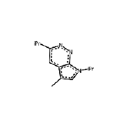 Cc1cn(C(C)C)c2nnc(C(C)C)cc12